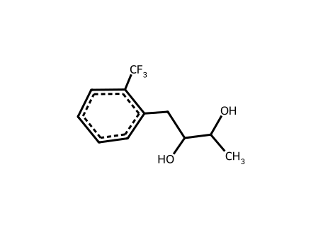 CC(O)C(O)Cc1ccccc1C(F)(F)F